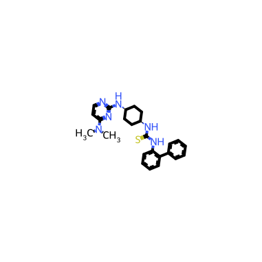 CN(C)c1ccnc(N[C@H]2CC[C@@H](NC(=S)Nc3ccccc3-c3ccccc3)CC2)n1